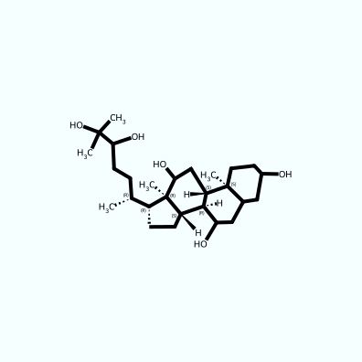 C[C@H](CCC(O)C(C)(C)O)[C@H]1CC[C@H]2[C@@H]3C(O)CC4CC(O)CC[C@]4(C)[C@H]3CC(O)[C@]12C